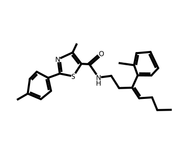 CCC/C=C(/CCNC(=O)c1sc(-c2ccc(C)cc2)nc1C)c1ccccc1C